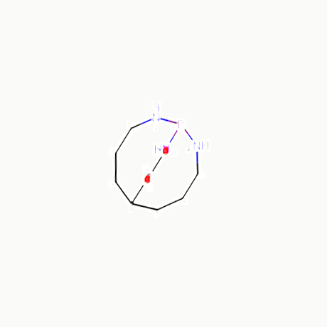 C1CNP2NCCCC(C1)CCCN2